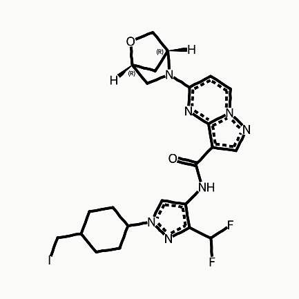 O=C(Nc1cn(C2CCC(CI)CC2)nc1C(F)F)c1cnn2ccc(N3C[C@H]4C[C@@H]3CO4)nc12